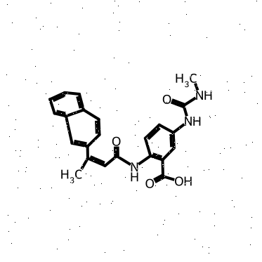 CNC(=O)Nc1ccc(NC(=O)/C=C(/C)c2ccc3ccccc3c2)c(C(=O)O)c1